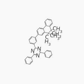 CC1(C)c2ccccc2-c2ccc(-c3cccc(-c4nc(-c5ccccc5)nc(-c5ccccc5)n4)c3)cc2C1(C)C